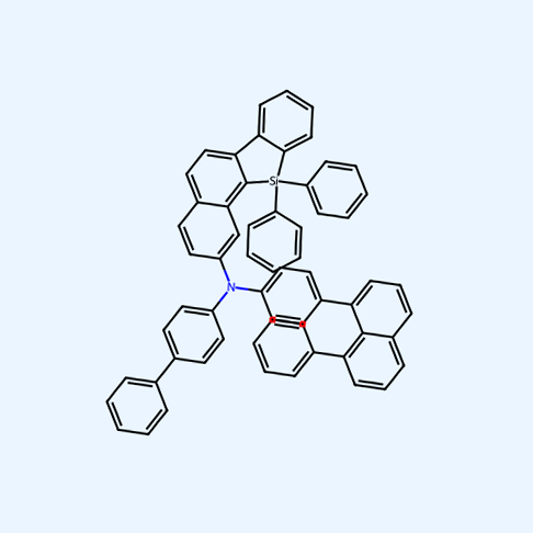 c1ccc(-c2ccc(N(c3ccc(-c4cccc5cccc(-c6ccccc6)c45)cc3)c3ccc4ccc5c(c4c3)[Si](c3ccccc3)(c3ccccc3)c3ccccc3-5)cc2)cc1